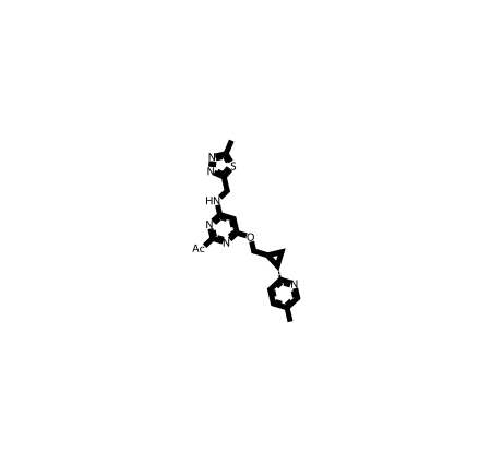 CC(=O)c1nc(NCc2nnc(C)s2)cc(OCC2C[C@@H]2c2ccc(C)cn2)n1